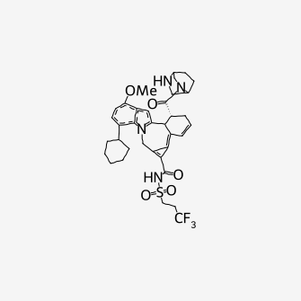 COc1ccc(C2CCCCC2)c2c1cc1n2CC2=C(C(=O)NS(=O)(=O)CCC(F)(F)F)C2=C2C=CC[C@@H](C(=O)N3CC4CCC3CN4)C21